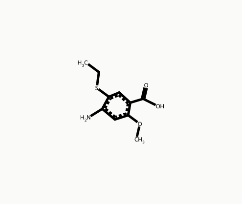 CCSc1cc(C(=O)O)c(OC)cc1N